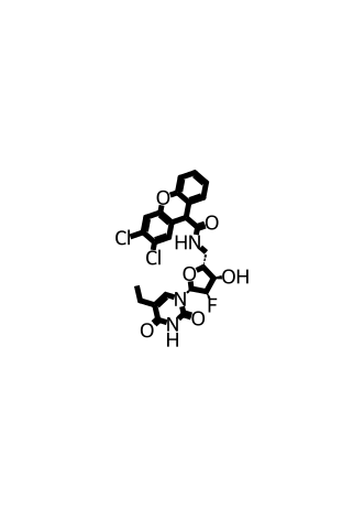 CCc1cn([C@@H]2O[C@H](CNC(=O)C3c4ccccc4Oc4cc(Cl)c(Cl)cc43)[C@@H](O)[C@@H]2F)c(=O)[nH]c1=O